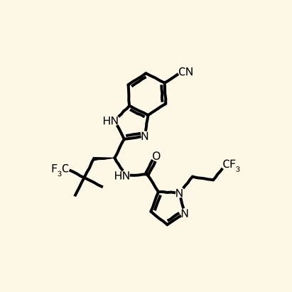 CC(C)(C[C@H](NC(=O)c1ccnn1CCC(F)(F)F)c1nc2cc(C#N)ccc2[nH]1)C(F)(F)F